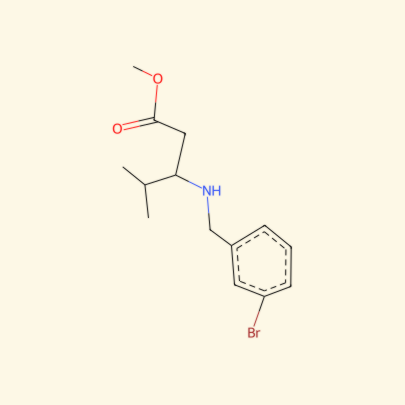 COC(=O)CC(NCc1cccc(Br)c1)C(C)C